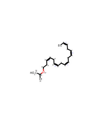 CC/C=C\C/C=C\C/C=C\C/C=C\C/C=C\CCOC(CC)C(=O)O